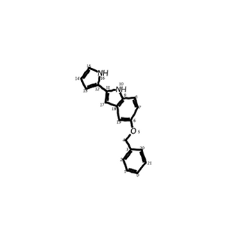 c1ccc(COc2ccc3[nH]c(-c4ccc[nH]4)cc3c2)cc1